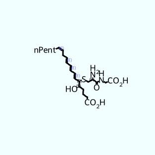 CCCCC/C=C\C/C=C/C=C/C=C/[C@@H](SC[C@H](N)C(=O)NCC(=O)O)[C@@H](O)CCCC(=O)O